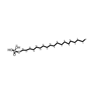 CCCCCCCCCCCCCCCCCCCOP(=O)(O)O